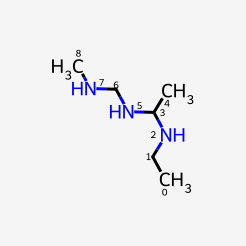 CCNC(C)NCNC